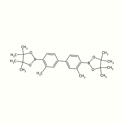 Cc1cc(-c2ccc(B3OC(C)(C)C(C)(C)O3)c(C)c2)ccc1B1OC(C)(C)C(C)(C)O1